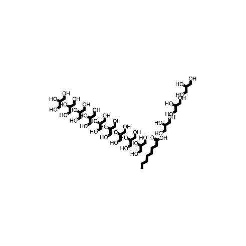 CCCCCCCC(=O)O.OCC(O)CO.OCC(O)CO.OCC(O)CO.OCC(O)CO.OCC(O)CO.OCC(O)CO.OCC(O)CO.OCC(O)CO.OCC(O)CO.OCC(O)CO.OCC(O)CO.OCC(O)CO